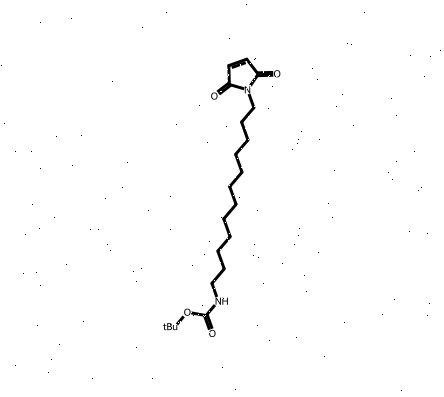 CC(C)(C)OC(=O)NCCCCCCCCCCCCN1C(=O)C=CC1=O